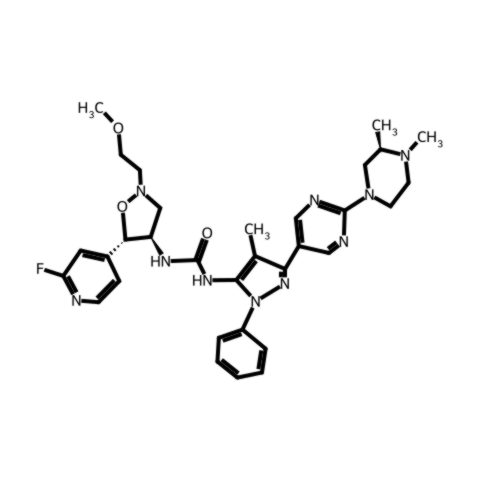 COCCN1C[C@@H](NC(=O)Nc2c(C)c(-c3cnc(N4CCN(C)[C@H](C)C4)nc3)nn2-c2ccccc2)[C@H](c2ccnc(F)c2)O1